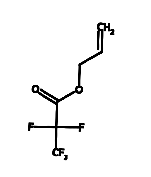 C=CCOC(=O)C(F)(F)C(F)(F)F